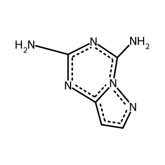 Nc1nc(N)n2nccc2n1